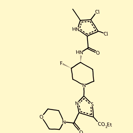 CCOC(=O)c1sc(N2CC[C@@H](NC(=O)c3[nH]c(C)c(Cl)c3Cl)[C@@H](F)C2)nc1C(=O)N1CCOCC1